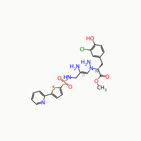 COC(=O)[C@H](Cc1ccc(O)c(Cl)c1)N(N)/C=C(\N)CNS(=O)(=O)c1ccc(-c2ccccn2)s1